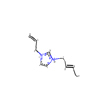 C=CC[n+]1ccn(CC=CC)c1